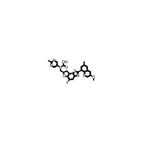 COc1cnc2c(-c3nc4cc(F)c5c(c4s3)CC(CN(C(=O)O)c3cnc(C)nc3)O5)cc(C)cc2c1